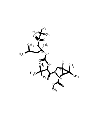 COC(=O)[C@@H]1C2[C@H](CN1C(=O)C(NC(=O)N[C@@](C)(CC(C)C)CS(=O)(=O)C(C)(C)C)C(C)(C)C)C2(C)C